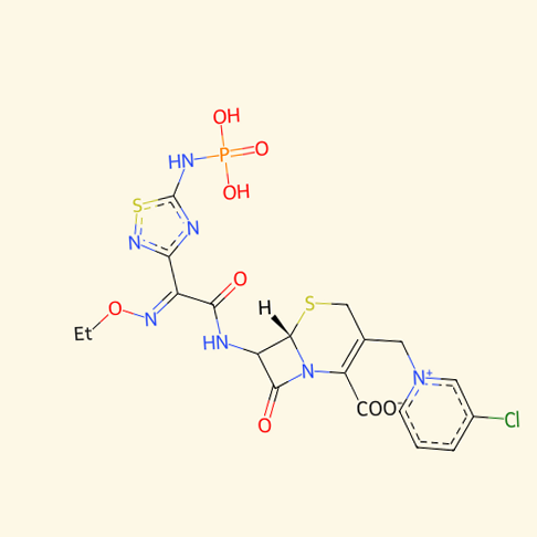 CCON=C(C(=O)NC1C(=O)N2C(C(=O)[O-])=C(C[n+]3cccc(Cl)c3)CS[C@@H]12)c1nsc(NP(=O)(O)O)n1